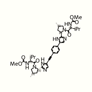 COC(=O)N[C@H](C(=O)N1C[C@@H](C)C[C@@H]1c1ncc(-c2ccc(C#Cc3cnc([C@@H]4C[C@H](C)CN4C(=O)[C@@H](NC(=O)OC)C(C)C)[nH]3)cc2)[nH]1)C(C)C